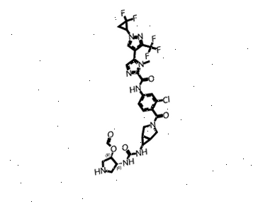 Cn1c(-c2cn(C3CC3(F)F)nc2C(F)(F)F)cnc1C(=O)Nc1ccc(C(=O)N2CC3C(C2)C3NC(=O)N[C@@H]2CNC[C@H]2OC=O)c(Cl)c1